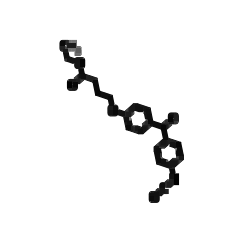 CCOC(=O)CCCOc1ccc(C(=O)c2ccc(N=C=O)cc2)cc1